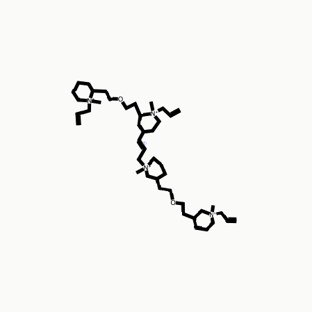 C=CC[N+]1(C)CCCC(CCOCCC2CCC[N+](C)(C/C=C/C3CC[N+](C)(CC=C)C(CCOCCC4CCCC[N+]4(C)CC=C)C3)C2)C1